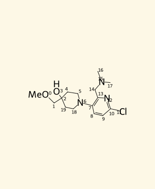 COCC1(O)CCN(c2ccc(Cl)nc2CN(C)C)CC1